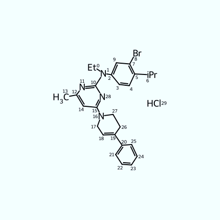 CCN(c1ccc(C(C)C)c(Br)c1)c1nc(C)cc(N2CC=C(c3ccccc3)CC2)n1.Cl